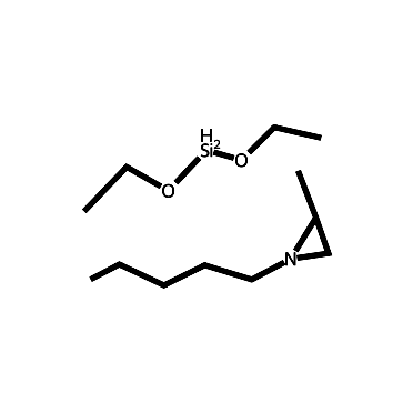 CCCCCN1CC1C.CCO[SiH2]OCC